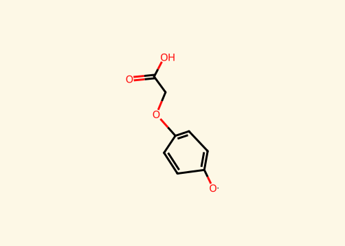 [O]c1ccc(OCC(=O)O)cc1